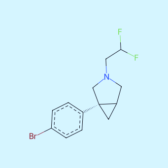 FC(F)CN1CC2C[C@@]2(c2ccc(Br)cc2)C1